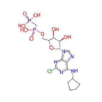 O=P(O)(O)CP(=O)(O)OCC1O[C@@H](n2cnc3c(NC4CCCC4)nc(Cl)nc32)[C@H](O)[C@@H]1O